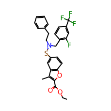 CCOC(=O)c1oc2ccc(SN(CCc3ccccc3)Cc3ccc(C(F)(F)F)cc3F)cc2c1C